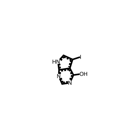 Oc1ncnc2[nH]cc(I)c12